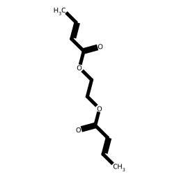 C/C=C/C(=O)OCCOC(=O)/C=C/C